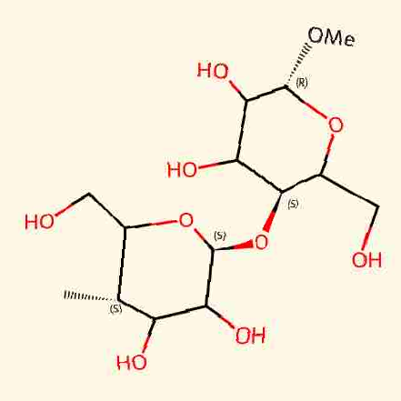 CO[C@@H]1OC(CO)[C@@H](O[C@@H]2OC(CO)[C@@H](C)C(O)C2O)C(O)C1O